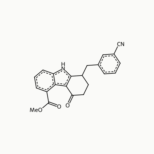 COC(=O)c1cccc2[nH]c3c(c12)C(=O)CCC3Cc1cccc(C#N)c1